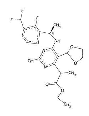 CCOC(=O)C(C)c1nc(Cl)nc(N[C@H](C)c2cccc(C(F)F)c2F)c1C1OCCO1